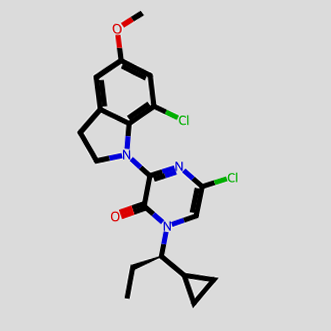 CC[C@H](C1CC1)n1cc(Cl)nc(N2CCc3cc(OC)cc(Cl)c32)c1=O